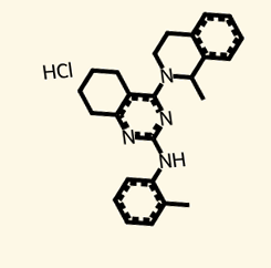 Cc1ccccc1Nc1nc2c(c(N3CCc4ccccc4C3C)n1)CCCC2.Cl